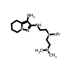 CCCN(CCNc1nn2c(c1N)CCCC2)CCN(C)C